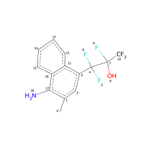 Cc1cc(C(F)(F)C(O)(F)C(F)(F)F)c2ccccc2c1N